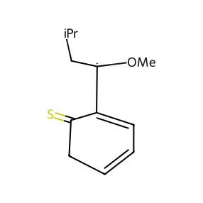 CO[C](CC(C)C)C1=CC=CCC1=S